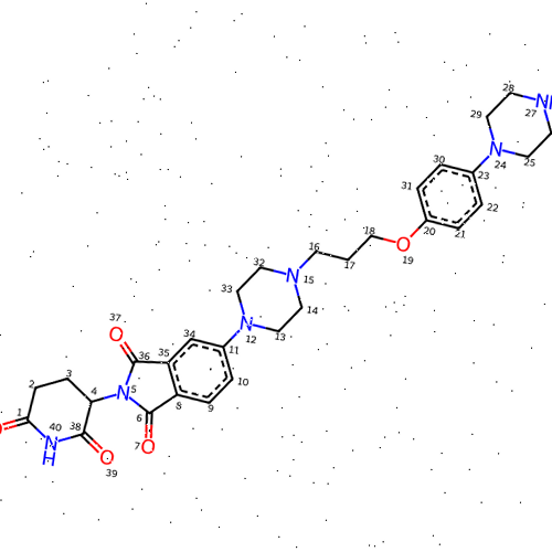 O=C1CCC(N2C(=O)c3ccc(N4CCN(CCCOc5ccc(N6CCNCC6)cc5)CC4)cc3C2=O)C(=O)N1